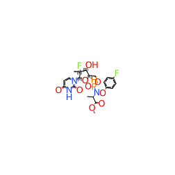 COC(=O)C(C)N(Oc1ccc(F)cc1)[PH](=O)OC[C@H]1O[C@@H](n2ccc(=O)[nH]c2=O)[C@](C)(F)[C@@H]1O